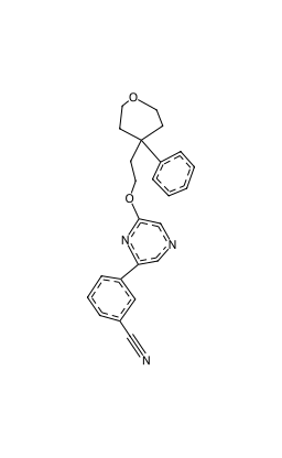 N#Cc1cccc(-c2cncc(OCCC3(c4ccccc4)CCOCC3)n2)c1